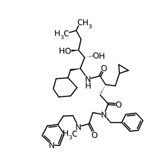 CC(C)C[C@H](O)[C@H](O)[C@H](CC1CCCCC1)NC(=O)[C@@H](CC(=O)N(CC(=O)N(C)CCc1ccncc1)Cc1ccccc1)CC1CC1